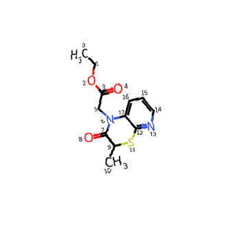 CCOC(=O)CN1C(=O)C(C)Sc2ncccc21